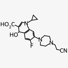 N#CCCN1CCN(c2cc3c(cc2F)C(O)C(C(=O)O)=CN3C2CC2)CC1